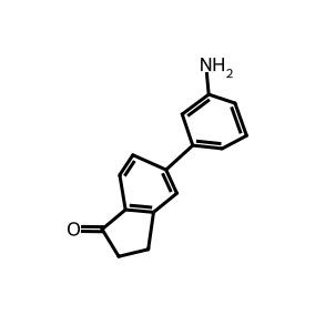 Nc1cccc(-c2ccc3c(c2)CCC3=O)c1